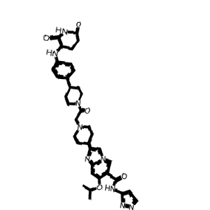 CC(C)Oc1cc2nc(C3CCN(CC(=O)N4CCC(c5ccc(NC6CCC(=O)NC6=O)cc5)CC4)CC3)cn2cc1C(=O)Nc1ccn(C)n1